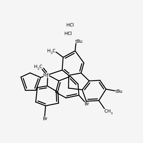 Cl.Cl.[CH2]=[Hf]([C]1=CC=CC1)([c]1ccc(Br)cc1)([c]1ccc(Br)cc1)[c]1c(C)c(C(C)(C)C)cc2c1Cc1cc(C)c(C(C)(C)C)cc1-2